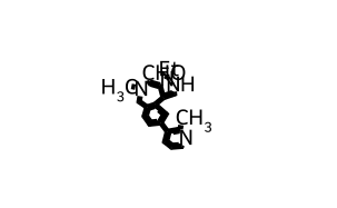 CCN1NC=C2C1=C(C=O)N(C)Cc1ccc(-c3cccnc3C)cc12